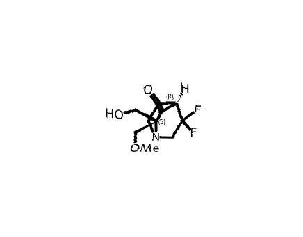 COC[C@@]1(CO)C(=O)[C@H]2CCN1CC2(F)F